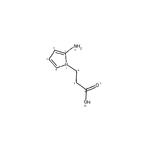 Nc1cccn1CCC(=O)O